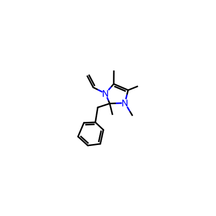 C=CN1C(C)=C(C)N(C)C1(C)Cc1ccccc1